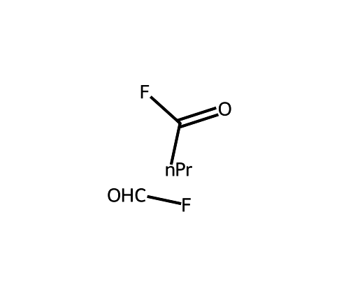 CCCC(=O)F.O=CF